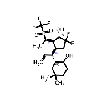 C=C/C(=C1/CC(F)(F)[C@@H](O)/C1=C(/C)S(=O)(=O)C(F)(F)F)[C@H]1CC(C)(C)CCC1O